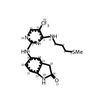 CSCCCNc1nc(Nc2ccc3c(c2)CC(=O)N3)ncc1C(F)(F)F